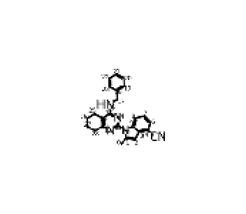 Cc1cc2c(C#N)cccc2n1-c1nc2c(c(NCc3ccccc3)n1)CCCC2